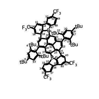 CC(C)(C)c1cc(C(C)(C)C)c(-c2cc3c4c(cc5c(-c6c(C(C)(C)C)cc(C(C)(C)C)cc6C(C)(C)C)cc6c7c(cc2c4c57)B2c4ccc(C(F)(F)F)cc4-c4cc(C(F)(F)F)cc-6c42)B2c4ccc(C(F)(F)F)cc4-c4cc(C(F)(F)F)cc-3c42)c(C(C)(C)C)c1